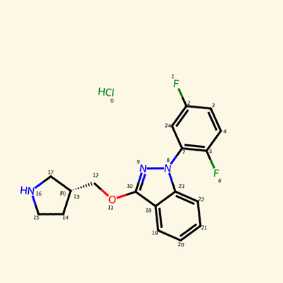 Cl.Fc1ccc(F)c(-n2nc(OC[C@@H]3CCNC3)c3ccccc32)c1